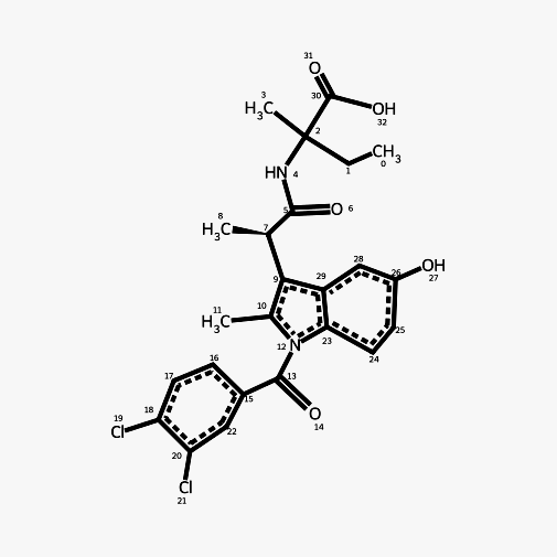 CCC(C)(NC(=O)[C@H](C)c1c(C)n(C(=O)c2ccc(Cl)c(Cl)c2)c2ccc(O)cc12)C(=O)O